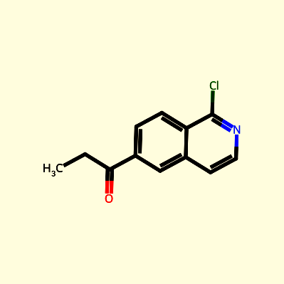 CCC(=O)c1ccc2c(Cl)nccc2c1